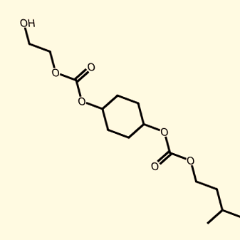 CC(C)CCOC(=O)OC1CCC(OC(=O)OCCO)CC1